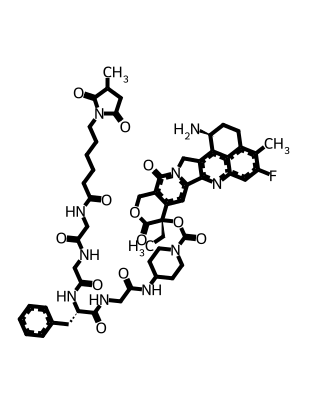 CC[C@@]1(OC(=O)N2CCC(NC(=O)CNC(=O)[C@H](Cc3ccccc3)NC(=O)CNC(=O)CNC(=O)CCCCCN3C(=O)CC(C)C3=O)CC2)C(=O)OCc2c1cc1n(c2=O)Cc2c-1nc1cc(F)c(C)c3c1c2[C@@H](N)CC3